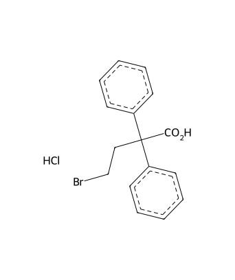 Cl.O=C(O)C(CCBr)(c1ccccc1)c1ccccc1